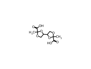 CC1(C(=O)O)OCC(C2COC(C)(C(=O)O)O2)O1